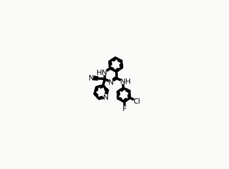 N#CC1(c2cccnc2)N=C(Nc2ccc(F)c(Cl)c2)c2ccccc2N1